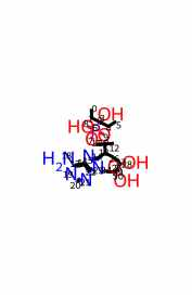 CCC(O)(CC)P(=O)(O)OC(C)(C)C1c2nc3c(N)ncnc3n2C2OC1[C@@H](O)[C@H]2O